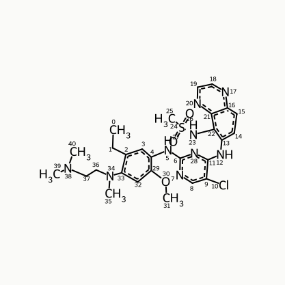 CCc1cc(Nc2ncc(Cl)c(Nc3ccc4nccnc4c3NS(C)(=O)=O)n2)c(OC)cc1N(C)CCN(C)C